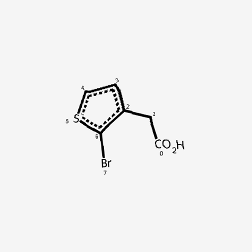 O=C(O)Cc1ccsc1Br